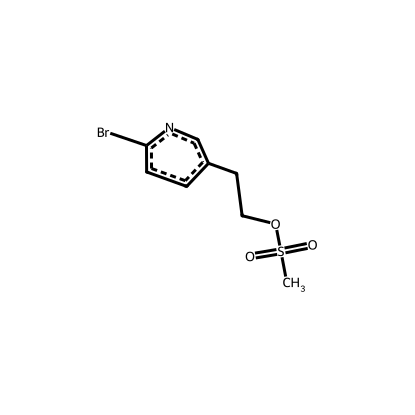 CS(=O)(=O)OCCc1ccc(Br)nc1